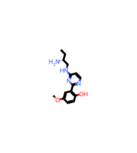 CC[C@@H](N)CNc1ccnc(-c2cc(OC)ccc2O)n1